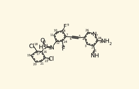 N=Cc1cc(C#Cc2c(F)ccc(/N=[SH](=O)/c3c(Cl)cccc3Cl)c2F)cnc1N